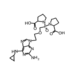 Nc1nc(NC2CC2)c2ncn(CCOCP(=O)(N3CCCC3C(=O)O)N3CCCC3C(=O)O)c2n1